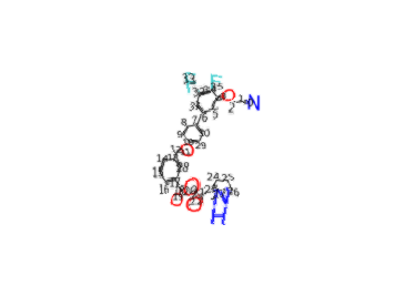 N#CCOc1cc(-c2ccc(OCc3cccc(C(=O)OC(=O)[C@@H]4CCCN4)c3)cc2)cc(F)c1F